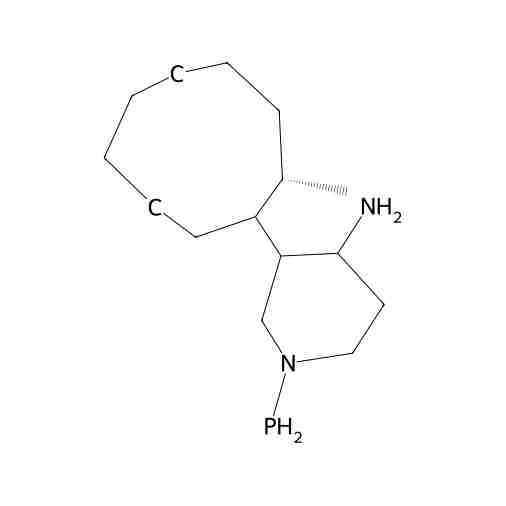 C[C@H]1CCCCCCCC1C1CN(P)CCC1N